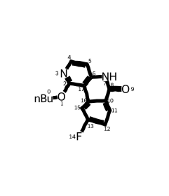 CCCCOc1nccc2[nH]c(=O)c3ccc(F)cc3c12